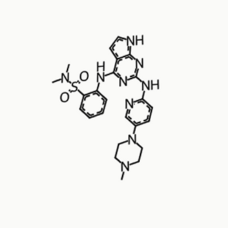 CN1CCN(c2ccc(Nc3nc(Nc4ccccc4S(=O)(=O)N(C)C)c4cc[nH]c4n3)nc2)CC1